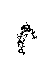 Cc1nc(-c2cccc(F)c2)ncc1OC(=O)Nn1cc(CC(C)(C)O)c2cc(F)ccc21